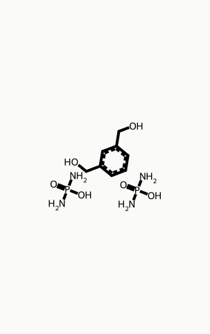 NP(N)(=O)O.NP(N)(=O)O.OCc1cccc(CO)c1